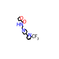 O=C(NCCN1CCC(c2cccc(C(F)(F)F)n2)CC1)C1CCCO1